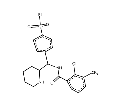 CCS(=O)(=O)c1ccc(C(NC(=O)c2cccc(C(F)(F)F)c2Cl)C2CCCCN2)cc1